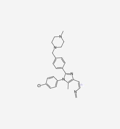 C=N/C=C\c1nc(-c2ccc(CN3CCN(C)CC3)cc2)n(-c2ccc(Cl)cc2)c1C